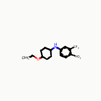 O=CCOC1CCC(Nc2ccc([N+](=O)[O-])c(C(F)(F)F)c2)CC1